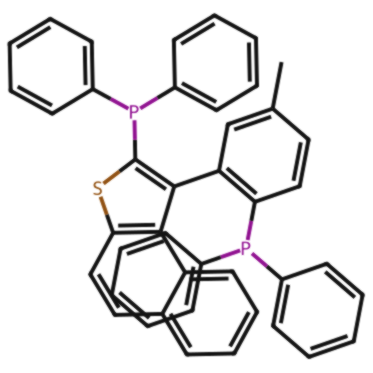 Cc1ccc(P(c2ccccc2)c2ccccc2)c(-c2c(P(c3ccccc3)c3ccccc3)sc3ccc4ccccc4c23)c1